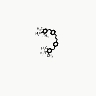 Cc1cc(Cc2ccc(CCCc3ccc(Cc4cc(C)c(N)c(C)c4)cc3)cc2)cc(C)c1N